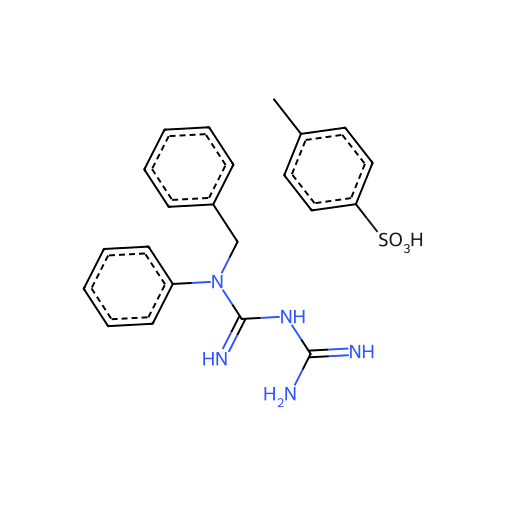 Cc1ccc(S(=O)(=O)O)cc1.N=C(N)NC(=N)N(Cc1ccccc1)c1ccccc1